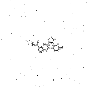 CCONC(=O)c1cnc2ccc(N3CCCC3c3cccc(F)c3)nn12